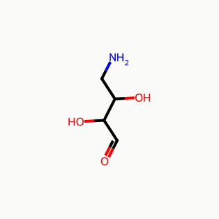 NCC(O)C(O)C=O